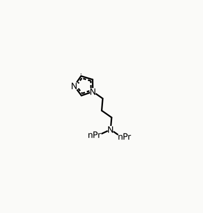 CCCN(CCC)CCCn1c[c]nc1